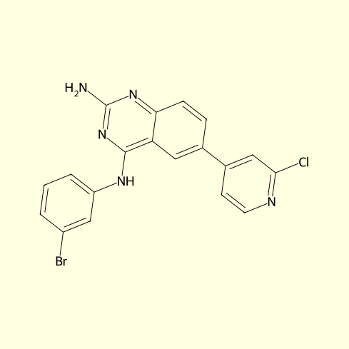 Nc1nc(Nc2cccc(Br)c2)c2cc(-c3ccnc(Cl)c3)ccc2n1